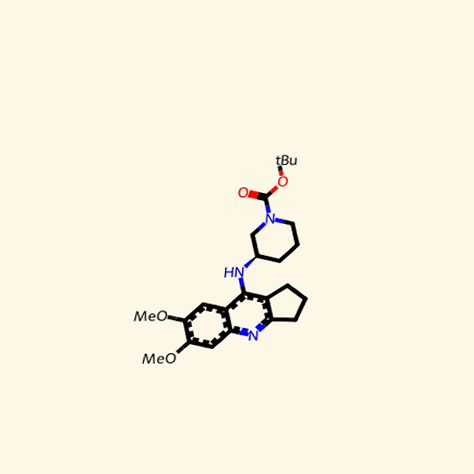 COc1cc2nc3c(c(N[C@@H]4CCCN(C(=O)OC(C)(C)C)C4)c2cc1OC)CCC3